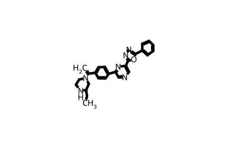 C=C(c1ccc(-c2cncc(-c3nnc(-c4ccccc4)o3)n2)cc1)N1CCNC(CC)C1